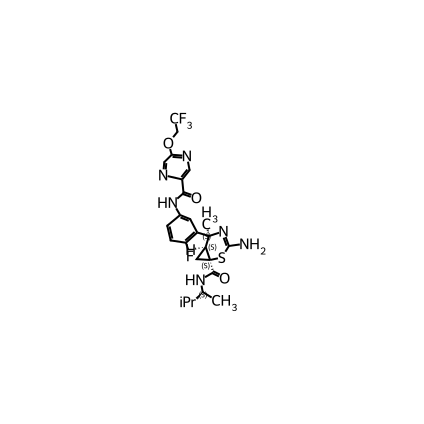 CC(C)[C@H](C)NC(=O)[C@]12C[C@H]1[C@@](C)(c1cc(NC(=O)c3cnc(OCC(F)(F)F)cn3)ccc1F)N=C(N)S2